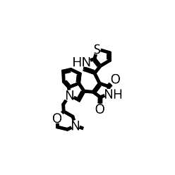 CN1CCOC(Cn2cc(C3=C(c4c[nH]c5sccc45)C(=O)NC3=O)c3ccccc32)C1